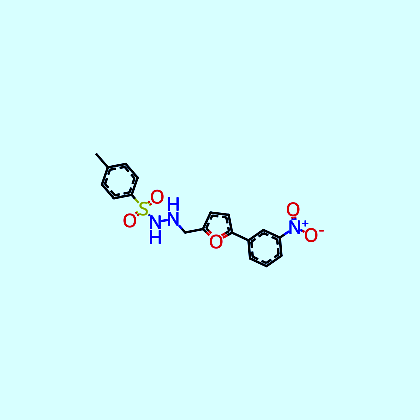 Cc1ccc(S(=O)(=O)NNCc2ccc(-c3cccc([N+](=O)[O-])c3)o2)cc1